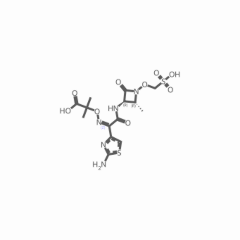 C[C@@H]1[C@@H](NC(=O)/C(=N\OC(C)(C)C(=O)O)c2csc(N)n2)C(=O)N1OCS(=O)(=O)O